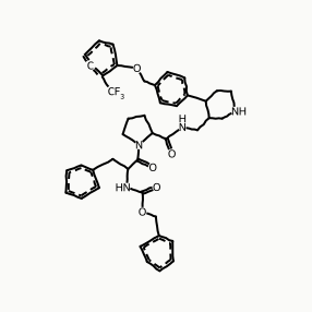 O=C(NC(Cc1ccccc1)C(=O)N1CCCC1C(=O)NCC1CNCCC1c1ccc(COc2ccccc2C(F)(F)F)cc1)OCc1ccccc1